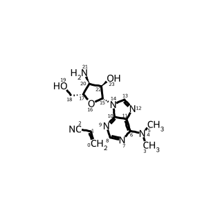 C=CC#N.CN(C)c1ncnc2c1ncn2[C@@H]1O[C@H](CO)[C@@H](N)[C@H]1O